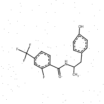 CC(Cc1ccc(O)cc1)NC(=O)c1ccc(C(F)(F)F)cc1F